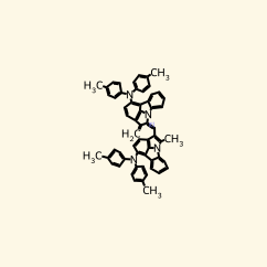 C=c1/c(=C\c2c(C)n3c4ccccc4c4c(N(c5ccc(C)cc5)c5ccc(C)cc5)ccc2c43)n2c3ccccc3c3c(N(c4ccc(C)cc4)c4ccc(C)cc4)ccc1c32